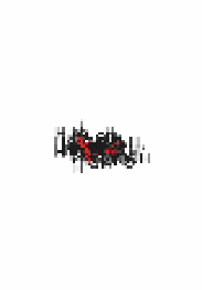 CC[C@H](C)[C@H](NC(=O)[C@H](CO)NC(=O)[C@H](Cc1ccc(O)cc1)NC(=O)[C@H](CC(=O)O)NC(=O)[C@H](CO)NC(=O)[C@@H](NC(=O)[C@H](Cc1ccccc1)NC(=O)[C@@H](NC(=O)CNC(=O)[C@H](CCC(=O)O)NC(=O)C(C)(C)N)[C@@H](C)O)[C@@H](C)O)C(=O)N[C@@H](C)C(=O)N[C@@H](CC(C)C)C(=O)N[C@@H](CC(=O)O)C(=O)N[C@@H](CCCCN)C(=O)O